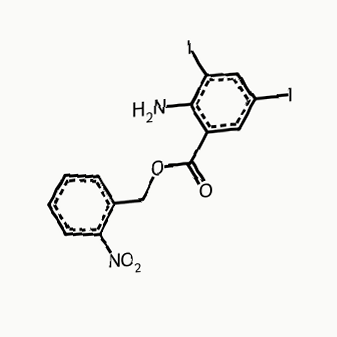 Nc1c(I)cc(I)cc1C(=O)OCc1ccccc1[N+](=O)[O-]